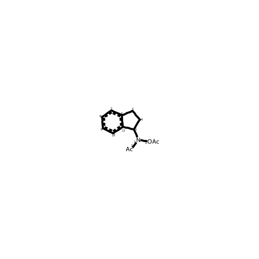 CC(=O)ON(C(C)=O)C1CCc2ccccc21